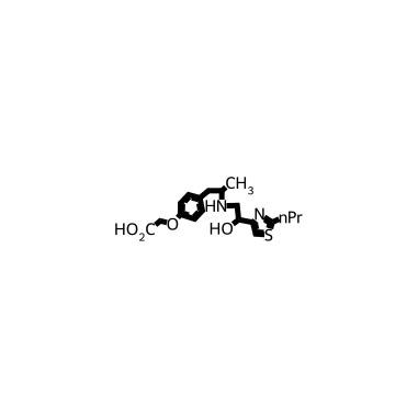 CCCc1nc(C(O)CNC(C)Cc2ccc(OCC(=O)O)cc2)cs1